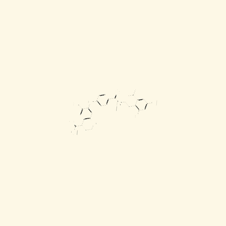 CC(C)c1cc(Cl)cc(Cl)c1CCNC(=O)c1ccc(Oc2cc3c(cc2Cl)C(C(=O)O)CCO3)cc1